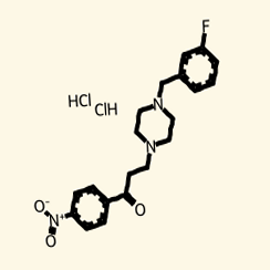 Cl.Cl.O=C(CCN1CCN(Cc2cccc(F)c2)CC1)c1ccc([N+](=O)[O-])cc1